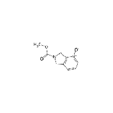 COC(=O)N1Cc2ccc[n+]([O-])c2C1